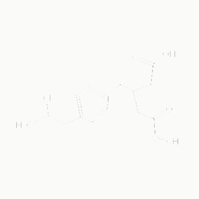 COC(=O)CC(CC(=O)O)Cc1ccc(CC(C)C)cc1